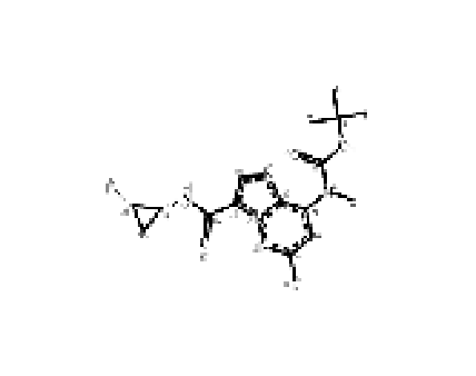 CN(C(=O)OC(C)(C)C)c1cc(Cl)nn2c(C(=O)N[C@@H]3C[C@@H]3F)cnc12